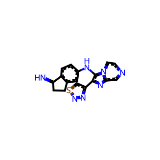 N=C1CCc2cc(Nc3c(-c4csnn4)nc4cnccn34)ccc21